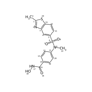 Cc1nc2cc(S(=O)(=O)N(C)c3ccc(C(=O)NO)cc3)ccc2s1